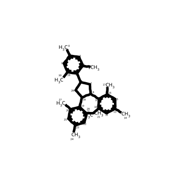 Cc1cc(C)c(C2CC(c3c(C)cc(C)cc3C)C(c3c(C)cc(C)cc3C)C2)c(C)c1